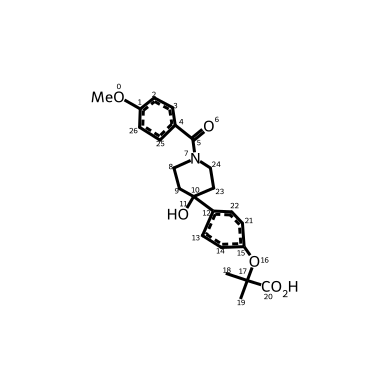 COc1ccc(C(=O)N2CCC(O)(c3ccc(OC(C)(C)C(=O)O)cc3)CC2)cc1